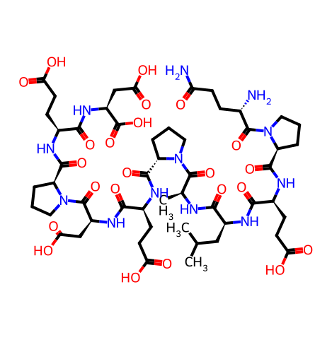 CC(C)C[C@H](NC(=O)[C@H](CCC(=O)O)NC(=O)[C@@H]1CCCN1C(=O)[C@@H](N)CCC(N)=O)C(=O)N[C@@H](C)C(=O)N1CCC[C@H]1C(=O)N[C@@H](CCC(=O)O)C(=O)N[C@@H](CC(=O)O)C(=O)N1CCC[C@H]1C(=O)N[C@@H](CCC(=O)O)C(=O)N[C@@H](CC(=O)O)C(=O)O